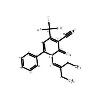 CCC(CC)=Nn1c(-c2ccccc2)cc(C(F)(F)F)c(C#N)c1=O